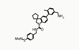 CNSc1ccc(CNC(=O)N2CC3(CCCC3)c3cc(-c4cc(CN)ccc4C)ccc32)cc1